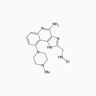 CCNCc1nc2c(N)nc3cccc(N4CCN(C(C)(C)C)CC4)c3c2[nH]1